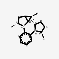 C[C@@H]1C2C[C@@H](C)P(c3ccccc3P3[C@H](C)CC[C@H]3C)C21